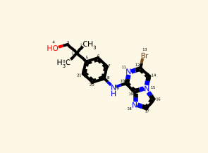 CC(C)(CO)c1ccc(Nc2nc(Br)cn3ccnc23)cc1